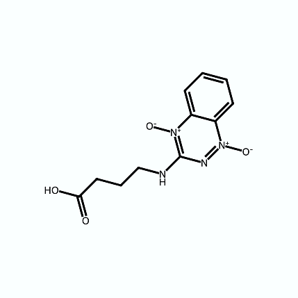 O=C(O)CCCNc1n[n+]([O-])c2ccccc2[n+]1[O-]